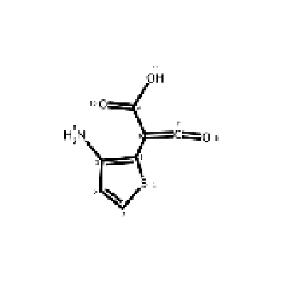 Nc1ccsc1C(=C=O)C(=O)O